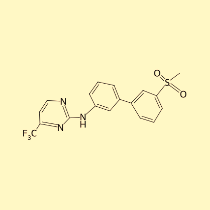 CS(=O)(=O)c1cccc(-c2cccc(Nc3nccc(C(F)(F)F)n3)c2)c1